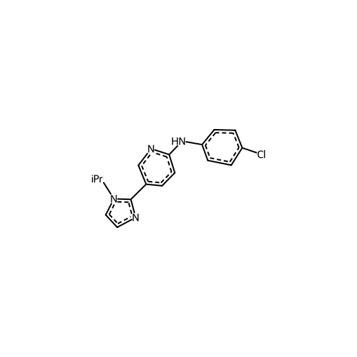 CC(C)n1ccnc1-c1ccc(Nc2ccc(Cl)cc2)nc1